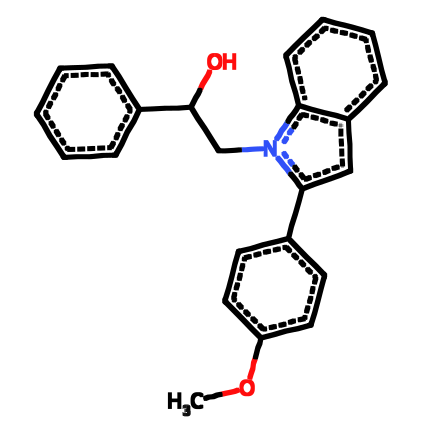 COc1ccc(-c2cc3ccccc3n2CC(O)c2ccccc2)cc1